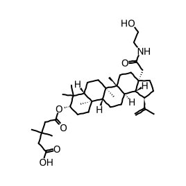 C=C(C)[C@@H]1CC[C@]2(CC(=O)NCCO)CC[C@]3(C)[C@H](CC[C@@H]4[C@@]5(C)CC[C@H](OC(=O)CC(C)(C)CC(=O)O)C(C)(C)[C@@H]5CC[C@]43C)[C@@H]12